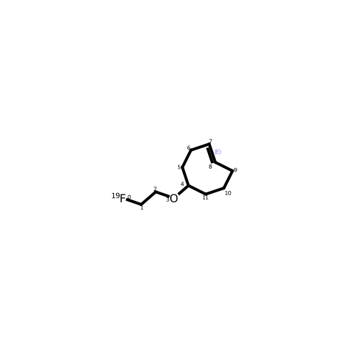 [19F]CCOC1CC/C=C/CCC1